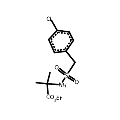 CCOC(=O)C(C)(C)NS(=O)(=O)Cc1ccc(Cl)cc1